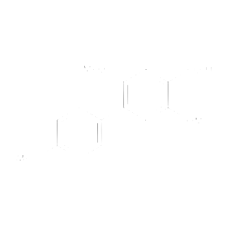 COc1ccc(-c2cc(OC)c(C(=O)O)cc2OC)cc1